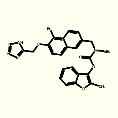 CCCCN(Cc1ccc2c(Br)c(OCc3nnn[nH]3)ccc2c1)C(=O)Oc1c(C)oc2ccccc12